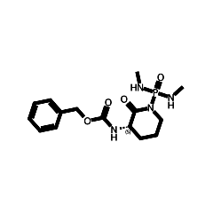 CNP(=O)(NC)N1CCC[C@H](NC(=O)OCc2ccccc2)C1=O